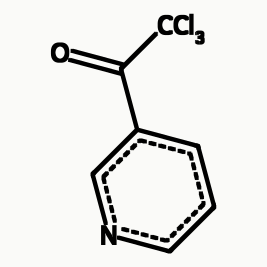 O=C(c1cccnc1)C(Cl)(Cl)Cl